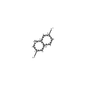 Ic1cnc2cc(I)ccc2c1